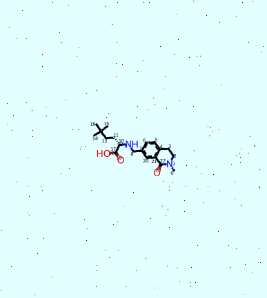 CN1CCc2ccc(CN[C@@H](CCC(C)(C)C)C(=O)O)cc2C1=O